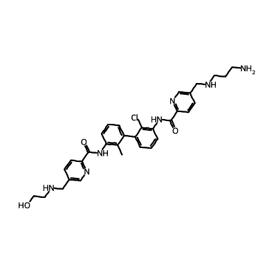 Cc1c(NC(=O)c2ccc(CNCCO)cn2)cccc1-c1cccc(NC(=O)c2ccc(CNCCCN)cn2)c1Cl